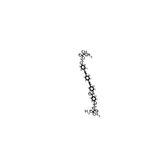 C=C(C)C(=O)OCCOc1ccc(C#Cc2ccc(C#Cc3ccc(SC(=O)c4ccc(OCCOC(=O)C(=C)C)cc4)cc3)cc2)cc1